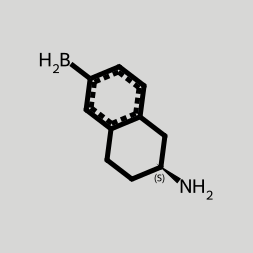 Bc1ccc2c(c1)CC[C@H](N)C2